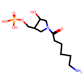 NCCCCCC(=O)N1CC(O)C(COP(=O)(O)O)C1